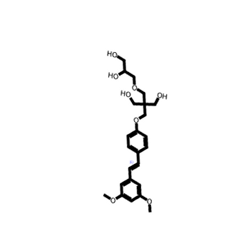 COc1cc(/C=C/c2ccc(OCC(CO)(CO)COCC(O)CO)cc2)cc(OC)c1